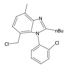 CCCCc1nc2c(C)ccc(CCl)c2n1-c1ccccc1Cl